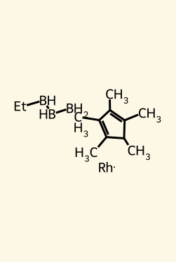 BBBCC.CC1=C(C)C(C)C(C)=C1C.[Rh]